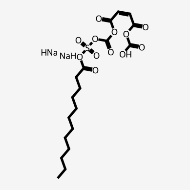 CCCCCCCCCCCC(=O)OS(=O)(=O)OC(=O)OC(=O)/C=C\C(=O)OC(=O)O.[NaH].[NaH]